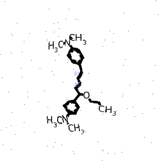 CCCOC(/C=C/C=C/c1ccc(N(C)C)cc1)c1ccc(N(C)C)cc1